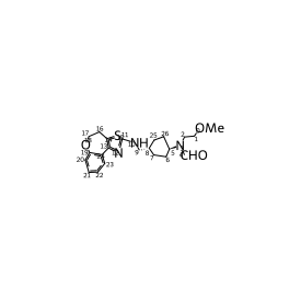 COCCN(C=O)[C@H]1CC[C@H](CNc2nc3c(s2)CCOc2ccccc2-3)CC1